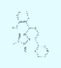 Cn1nc2n(c1=O)C(c1ccccc1)=CSC2c1ccccc1O